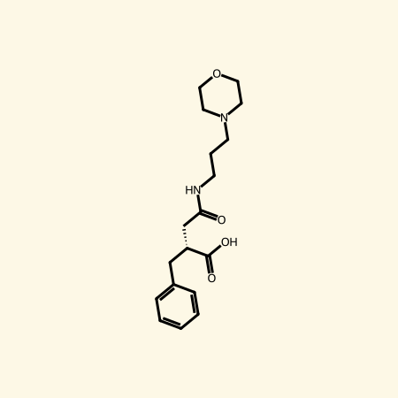 O=C(C[C@@H](Cc1ccccc1)C(=O)O)NCCCN1CCOCC1